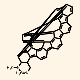 CNCC1c2c3ccc4c5ccc6c7ccc8c9ccc%10c(c%11c2c2c3c4c3c5c6c4c7c8c5c9c%10c%11c6c2c3c4c56)C1N(C)C